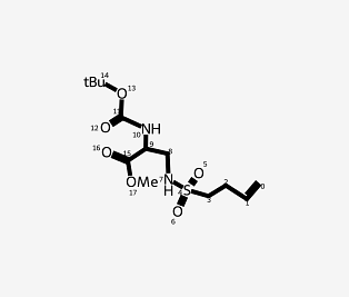 C=CCCS(=O)(=O)NCC(NC(=O)OC(C)(C)C)C(=O)OC